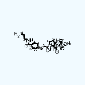 NCCNC(=O)c1ccc(SCC(=O)N2CC[C@@H]3[C@H]2C(=O)N3S(=O)(=O)O)cc1